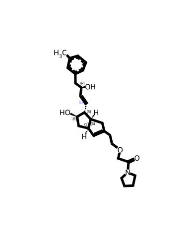 Cc1cccc(C[C@@H](O)/C=C/[C@@H]2[C@H]3CC(CCOCC(=O)N4CCCC4)=C[C@H]3C[C@H]2O)c1